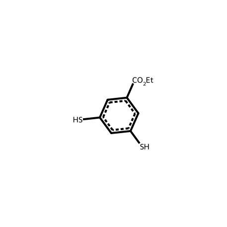 CCOC(=O)c1cc(S)cc(S)c1